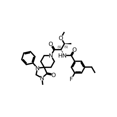 CCc1cc(F)cc(C(=O)N[C@H](C(=O)N2CCC3(CC2)C(=O)N(C)CN3c2ccccc2)[C@H](C)OC)c1